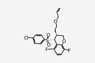 C=CCOCC[C@H]1COc2c(F)ccc(F)c2[C@@H]1S(=O)(=O)c1ccc(Cl)cc1